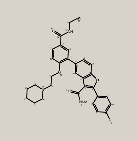 CNC(=O)c1c(-c2ccc(F)cc2)oc2ccc(-c3cc(C(=O)NCC(C)C)ccc3OCCN3CCCCC3)cc12